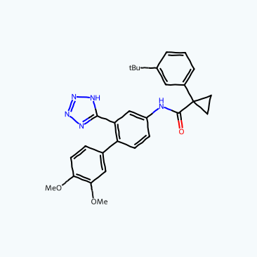 COc1ccc(-c2ccc(NC(=O)C3(c4cccc(C(C)(C)C)c4)CC3)cc2-c2nnn[nH]2)cc1OC